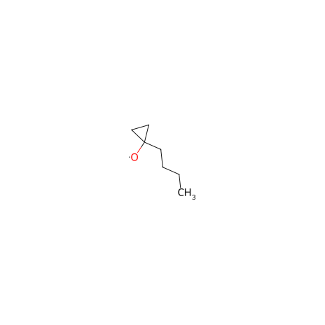 CCCCC1([O])CC1